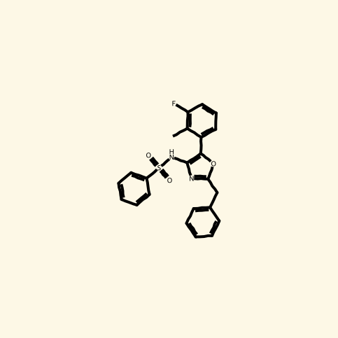 Cc1c(F)cccc1-c1oc(Cc2ccccc2)nc1NS(=O)(=O)c1ccccc1